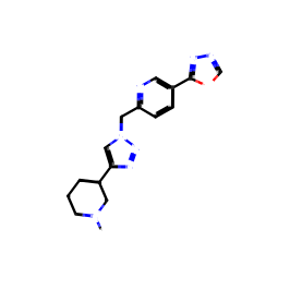 CCN1CCCC(c2cn(Cc3ccc(-c4nnco4)cn3)nn2)C1